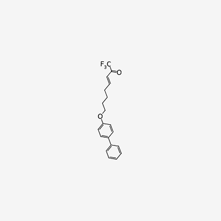 O=C(C=CCCCCOc1ccc(-c2ccccc2)cc1)C(F)(F)F